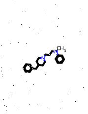 CN(CCCN1CCC(Cc2ccccc2)CC1)c1ccccc1